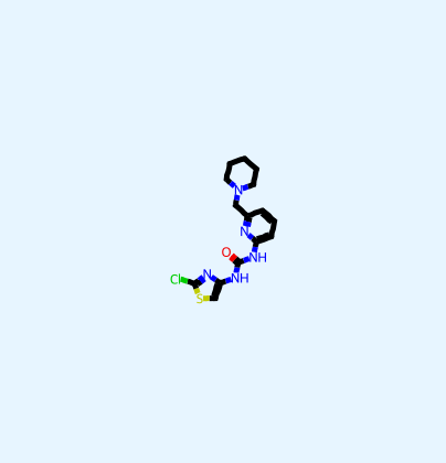 O=C(Nc1cccc(CN2CCCCC2)n1)Nc1csc(Cl)n1